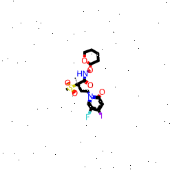 C[C@@](CCn1cc(F)c(I)cc1=O)(C(=O)NOC1CCCCO1)S(C)(=O)=O